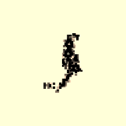 [2H]C(c1ccccc1OCCCCCC(=O)O)N(C(=O)c1ccc(-c2ccc(CCC)cc2)cc1)C1CC1